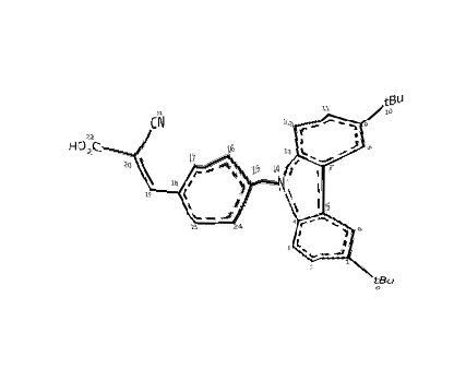 CC(C)(C)c1ccc2c(c1)c1cc(C(C)(C)C)ccc1n2-c1ccc(/C=C(\C#N)C(=O)O)cc1